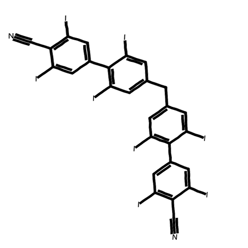 N#Cc1c(I)cc(-c2c(I)cc(Cc3cc(I)c(-c4cc(I)c(C#N)c(I)c4)c(I)c3)cc2I)cc1I